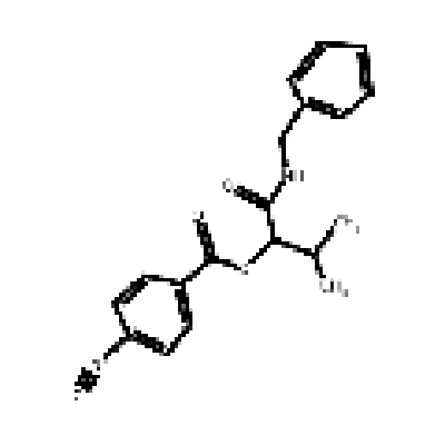 [C-]#[N+]c1ccc(C(=O)OC(C(=O)NCc2ccccc2)C(C)C)cc1